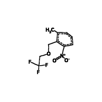 Cc1cccc([N+](=O)[O-])c1COCC(F)(F)F